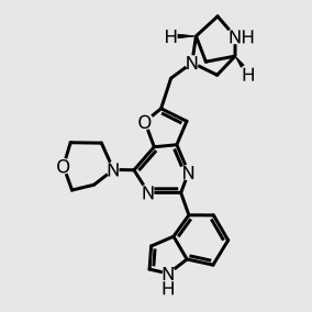 c1cc(-c2nc(N3CCOCC3)c3oc(CN4C[C@@H]5C[C@H]4CN5)cc3n2)c2cc[nH]c2c1